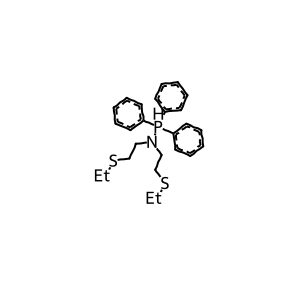 CCSCCN(CCSCC)[PH](c1ccccc1)(c1ccccc1)c1ccccc1